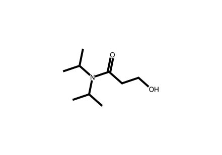 CC(C)N(C(=O)CCO)C(C)C